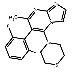 Cc1nc2nccn2c(N2CCSCC2)c1-c1c(F)cccc1F